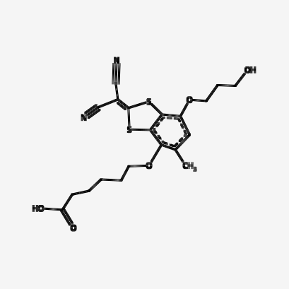 Cc1cc(OCCCO)c2c(c1OCCCCCC(=O)O)SC(=C(C#N)C#N)S2